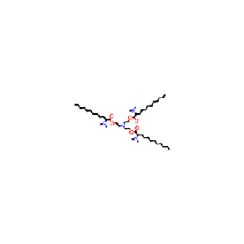 CCCCCCCCCCC(C(=O)OCCN(CCOC(=O)C(CCCCCCCCCC)N(C)C)CCOC(=O)C(CCCCCCCCCC)N(C)C)N(C)C